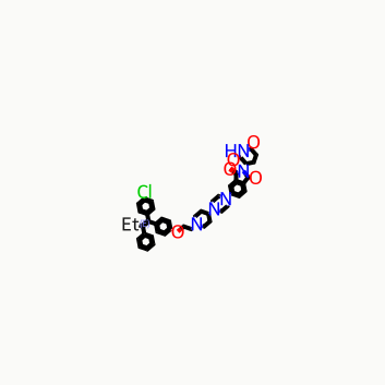 CC/C(=C(\c1ccc(Cl)cc1)c1ccc(OCCN2CCC(N3CCN(c4ccc5c(c4)C(=O)N(C4CCC(=O)NC4=O)C5=O)CC3)CC2)cc1)c1ccccc1